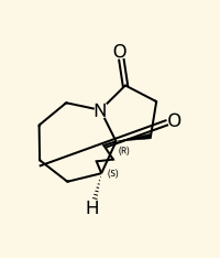 O=C1CC[C@]23C(=O)CC[C@@H]2CCCCN13